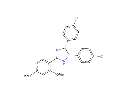 COc1ccc(C2=N[C@H](c3ccc(Cl)cc3)[C@H](c3ccc(Cl)cc3)N2)c(OC)c1